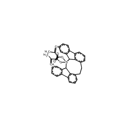 C=C(C)C(=O)[O][Ti]1([O]C(=O)C(=C)C)[CH]2c3ccccc3-c3cccc(c32)CCc2cccc3c2[CH]1c1ccccc1-3